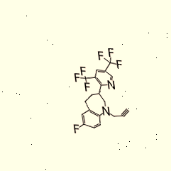 C#CCN1CC(c2ncc(C(F)(F)F)cc2C(F)(F)F)CCc2cc(F)ccc21